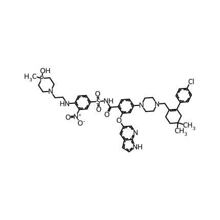 CC1(C)CCC(CN2CCN(c3ccc(C(=O)NS(=O)(=O)c4ccc(NCCN5CC[P](C)(O)CC5)c([N+](=O)[O-])c4)c(Oc4cnc5[nH]ccc5c4)c3)CC2)=C(c2ccc(Cl)cc2)C1